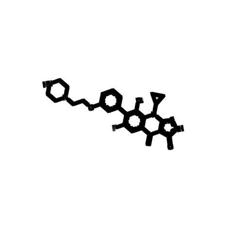 C=C1c2cc(F)c(-c3cccc(OCCN4CCNCC4)c3)c(CC)c2N(C2CC2)c2s[nH]c(=O)c21